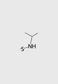 CC(C)N[S]